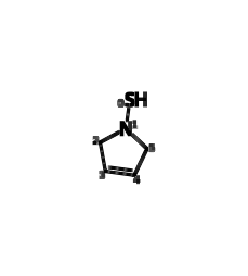 SN1CC=CC1